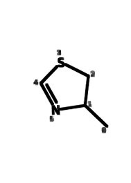 CC1CSC=N1